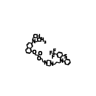 CCN(CC)c1ccc2cccc(OCC(=O)OCCN3CCN(CCCN4c5ccccc5Sc5ccc(C(F)(F)F)cc54)CC3)c2c1